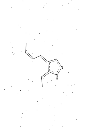 CC=c1[nH]nc/c1=C/C=C\C